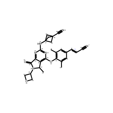 Cc1cc(/C=C/C#N)cc(C)c1Oc1nc(NC23CC(C#N)(C2)C3)nc2c1C(C)N(C1COC1)C2=O